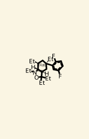 CC[C@H]1C[C@@](CC)(c2cc(F)ccc2F)C[C@@H]2[C@@H]1N(CC)OC2(CC)CC